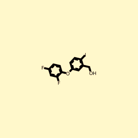 OCc1cc(Oc2ccc(F)cc2F)ccc1I